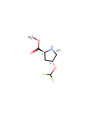 COC(=O)[C@@H]1C[C@@H](OC(F)F)CN1.Cl